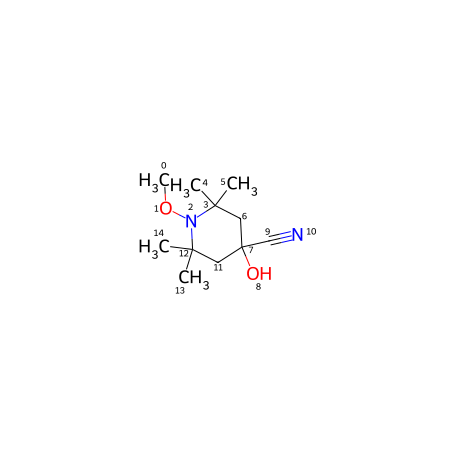 CON1C(C)(C)CC(O)(C#N)CC1(C)C